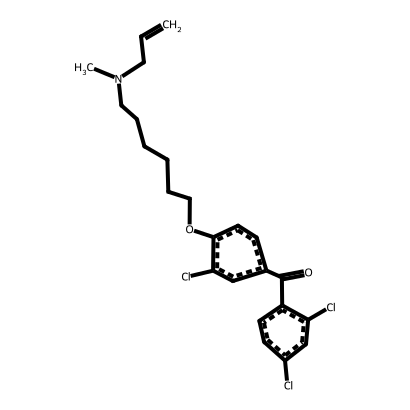 C=CCN(C)CCCCCCOc1ccc(C(=O)c2ccc(Cl)cc2Cl)cc1Cl